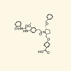 COc1cc(CC(=O)N2[C@H](COCc3ccccc3)CC[C@H]2COc2ccc(C(=O)O)cc2)ccc1NC(=O)Nc1ccccc1Cl